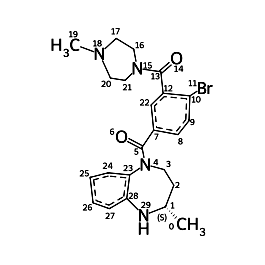 C[C@H]1CCN(C(=O)c2ccc(Br)c(C(=O)N3CCN(C)CC3)c2)c2ccccc2N1